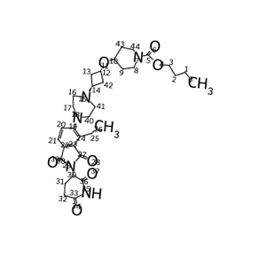 CCCCOC(=O)N1CCC(O[C@H]2C[C@H](N3CCN(c4ccc5c(c4CC)C(=O)N(C4CCC(=O)NC4=O)C5=O)CC3)C2)CC1